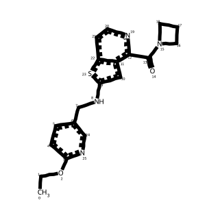 CCOc1ccc(CNc2cc3c(C(=O)N4CCC4)nccc3s2)cn1